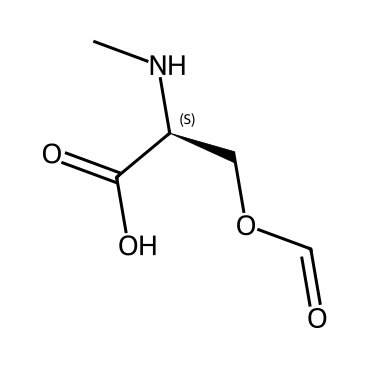 CN[C@@H](COC=O)C(=O)O